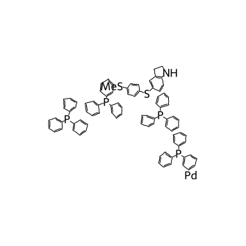 CSc1ccc(Sc2ccc3c(c2)CCN3)cc1.[Pd].c1ccc(P(c2ccccc2)c2ccccc2)cc1.c1ccc(P(c2ccccc2)c2ccccc2)cc1.c1ccc(P(c2ccccc2)c2ccccc2)cc1.c1ccc(P(c2ccccc2)c2ccccc2)cc1